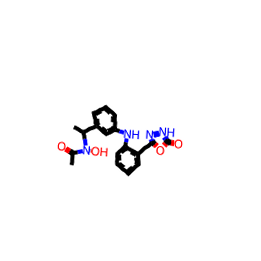 CC(=O)N(O)C(C)c1cccc(Nc2ccccc2-c2n[nH]c(=O)o2)c1